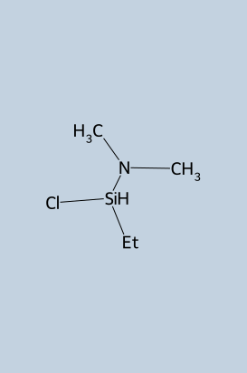 CC[SiH](Cl)N(C)C